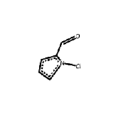 O=Cc1cccn1Cl